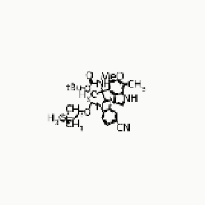 COc1cc(C)c2[nH]ccc2c1C(C)(NC(=O)OC(C)(C)C)c1nc2cc(C#N)ccc2n1COCC[Si](C)(C)C